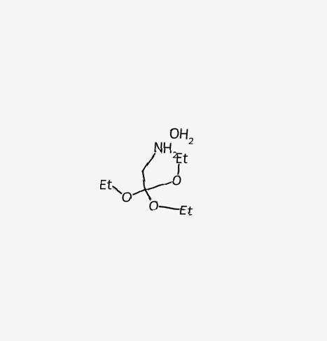 CCOC(CN)(OCC)OCC.O